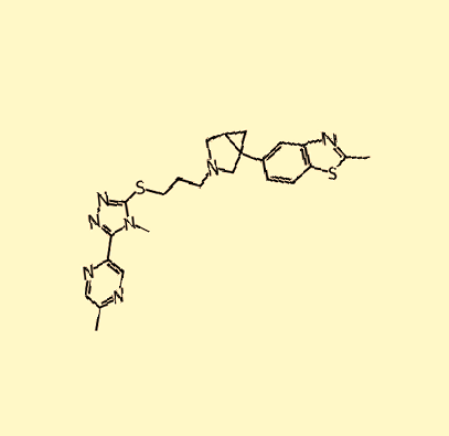 Cc1cnc(-c2nnc(SCCCN3CC4CC4(c4ccc5sc(C)nc5c4)C3)n2C)cn1